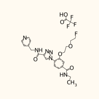 CCNC(=O)c1ccc(-n2cc(C(=O)NCc3ccncc3)nn2)c(OCCOCCF)c1.O=C(O)C(F)(F)F